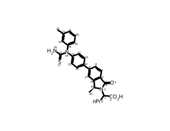 CCCC(C(=O)O)N1C(=O)c2ccc(-c3ccc(N(C(N)=S)c4cccc(C)c4)cc3)cc2[C@@H]1C